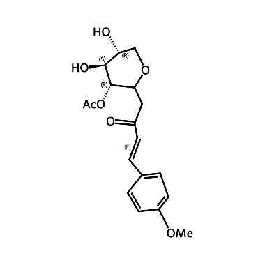 COc1ccc(/C=C/C(=O)CC2OC[C@@H](O)[C@H](O)[C@H]2OC(C)=O)cc1